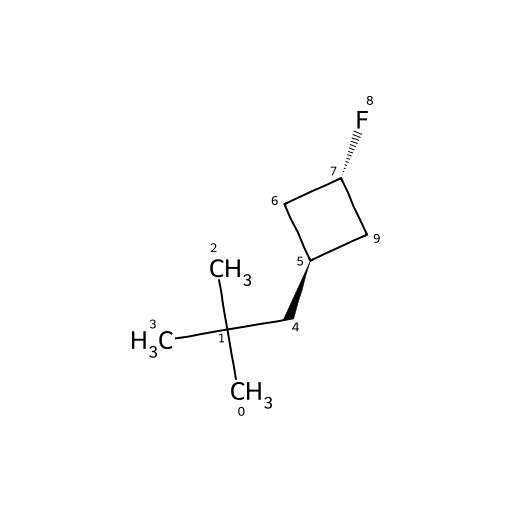 CC(C)(C)C[C@H]1C[C@H](F)C1